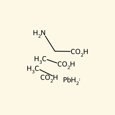 CC(=O)O.CC(=O)O.NCC(=O)O.[PbH2]